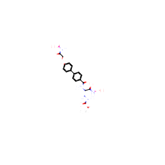 CC(C)(C)OC(=O)NC[C@H](NC(=O)c1ccc(-c2ccc(OCC(=O)NO)cc2)cc1)C(=O)NO